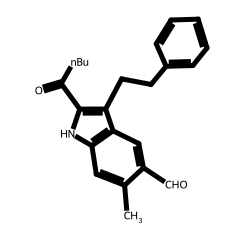 CCCCC(=O)c1[nH]c2cc(C)c(C=O)cc2c1CCc1ccccc1